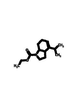 CCOC(=O)N1CCC2C(C(C)C)=CCCC21